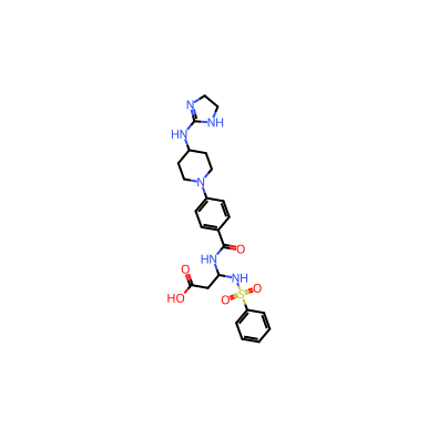 O=C(O)CC(NC(=O)c1ccc(N2CCC(NC3=NCCN3)CC2)cc1)NS(=O)(=O)c1ccccc1